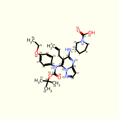 C=CCc1c(N[C@H]2CCCN(C(=O)O)C2)nc2ccnn2c1N(C(=O)OC(C)(C)C)c1ccc(OCC)cc1